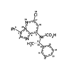 CC(C)c1cnc2c(N(C(=O)O)[C@@H](C)c3ccccc3)cc(Cl)nn12